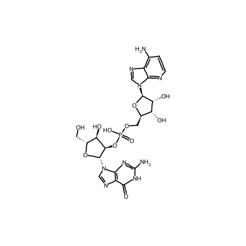 Nc1nc2c(ncn2[C@@H]2O[C@H](CO)[C@@H](O)[C@H]2OP(=O)(O)OC[C@H]2O[C@@H](n3cnc4c(N)ccnc43)[C@H](O)[C@@H]2O)c(=O)[nH]1